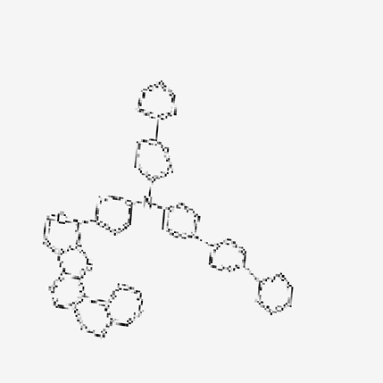 c1ccc(-c2ccc(-c3ccc(N(c4ccc(-c5ccccc5)cc4)c4ccc(-c5cccc6c5sc5c6ccc6ccc7ccccc7c65)cc4)cc3)cc2)cc1